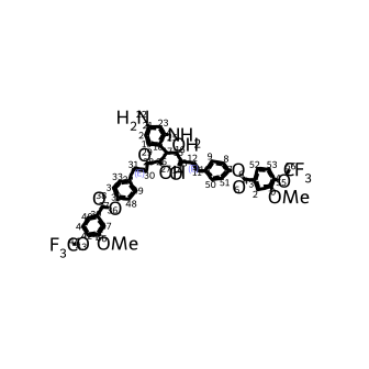 COc1cc(C(=O)Oc2ccc(/C=C/C(=O)C(O)C(c3ccc(N)cc3N)C(O)C(=O)/C=C/c3ccc(OC(=O)c4ccc(OC(F)(F)F)c(OC)c4)cc3)cc2)ccc1OC(F)(F)F